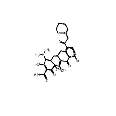 CN(C)C1C(O)=C(C(N)=O)C(=O)C2(O)C(O)=C3C(=O)c4c(O)ccc(C(=O)CN5CCCCC5)c4CC3CC12